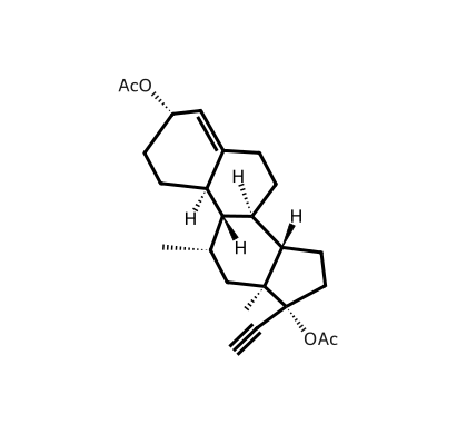 C#C[C@]1(OC(C)=O)CC[C@H]2[C@@H]3CCC4=C[C@@H](OC(C)=O)CC[C@@H]4[C@H]3[C@@H](C)C[C@@]21C